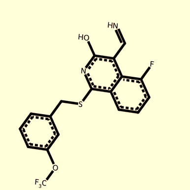 N=Cc1c(O)nc(SCc2cccc(OC(F)(F)F)c2)c2cccc(F)c12